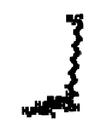 CCCCCCCCCCCC[SiH](O)[SiH2][SiH2][SiH2][SiH2][SiH3]